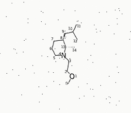 COCCN1CCC[C@@H](CC(C)C)[C@@H]1C